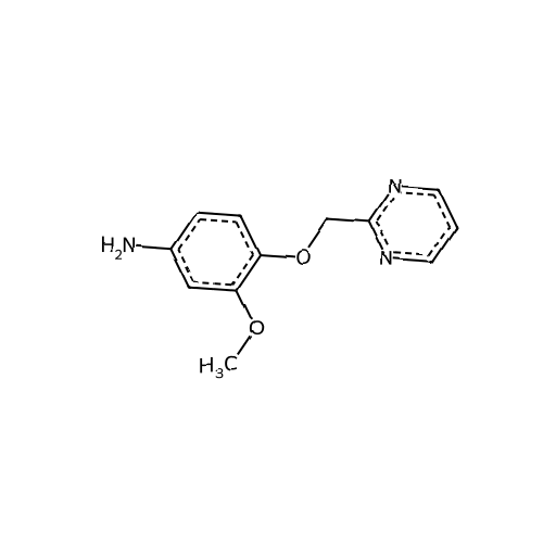 COc1cc(N)ccc1OCc1ncccn1